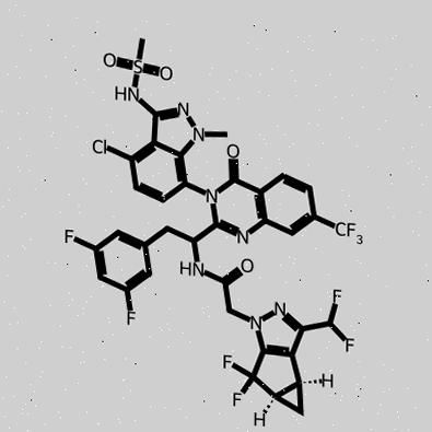 Cn1nc(NS(C)(=O)=O)c2c(Cl)ccc(-n3c(C(Cc4cc(F)cc(F)c4)NC(=O)Cn4nc(C(F)F)c5c4C(F)(F)[C@@H]4C[C@H]54)nc4cc(C(F)(F)F)ccc4c3=O)c21